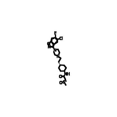 C[S+]([O-])CC(=O)N[C@H]1CC[C@H](CCN2CCN(c3noc4cc(F)c(Cl)cc34)CC2)CC1